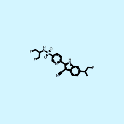 CC(CF)c1ccc2c(C#N)c(-c3ccc(S(=O)(=O)NC(CF)CF)cn3)[nH]c2c1